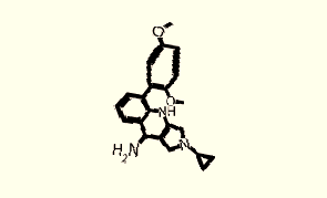 COc1ccc(OC)c(-c2cccc3c2NC2=C(CN(C4CC4)C2)C3N)c1